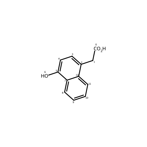 O=C(O)Cc1ccc(O)c2ccccc12